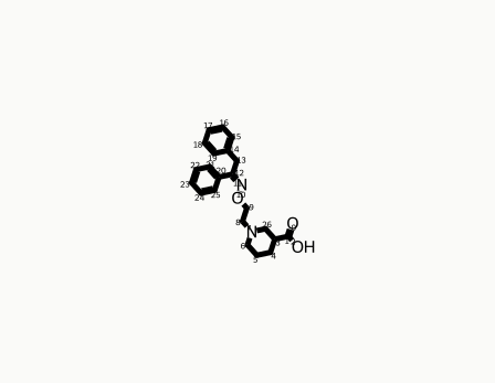 O=C(O)C1CCCN(CCON=C(Cc2ccccc2)c2ccccc2)C1